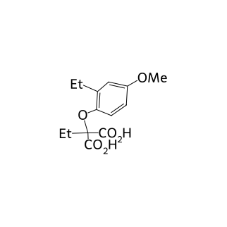 CCc1cc(OC)ccc1OC(CC)(C(=O)O)C(=O)O